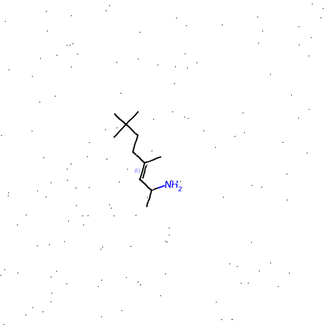 C/C(=C\C(C)N)CCC(C)(C)C